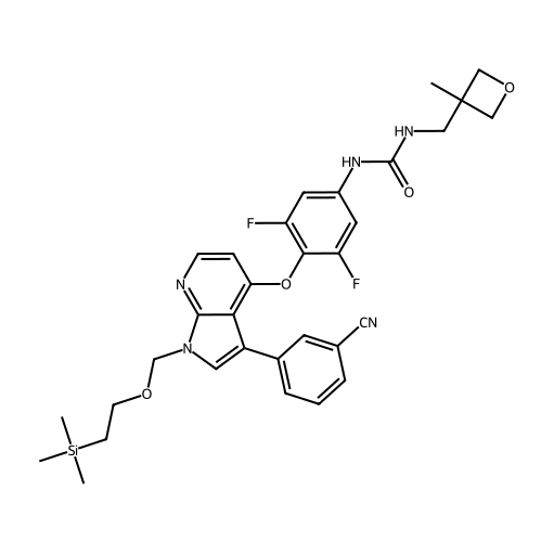 CC1(CNC(=O)Nc2cc(F)c(Oc3ccnc4c3c(-c3cccc(C#N)c3)cn4COCC[Si](C)(C)C)c(F)c2)COC1